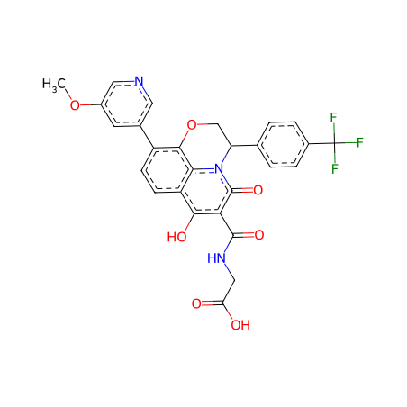 COc1cncc(-c2ccc3c(O)c(C(=O)NCC(=O)O)c(=O)n4c3c2OCC4c2ccc(C(F)(F)F)cc2)c1